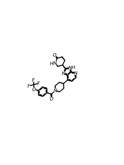 O=C1CCC(c2nc3c(C4CCN(C(=O)c5ccc(OC(F)(F)F)cc5)CC4)ccnc3[nH]2)CN1